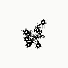 CC(=O)O[C@H]1[C@H](n2cnc3c(NC(=O)c4ccccc4)ncnc32)O[C@@](CO[Si](c2ccccc2)(c2ccccc2)C(C)(C)C)(COS(=O)(=O)c2ccc(C)cc2)[C@H]1OCc1ccccc1